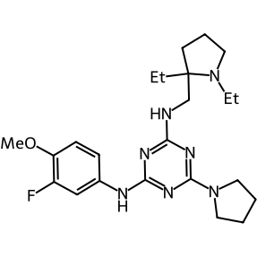 CCN1CCCC1(CC)CNc1nc(Nc2ccc(OC)c(F)c2)nc(N2CCCC2)n1